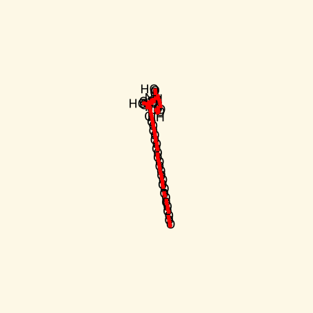 COCCOCCOCCOCCOCCOCCOCCOCCOCCOCCOCCOCCOCCOCCOCCOCCOCCOCCOCCOCCOCCOCCOCCOCCNC(=O)CCCCC[N+]1=c2cc3c(cc2C(CS(=O)(=O)O)=CC1(C)C)=C(C#N)c1cc2c(cc1O3)N(CCCCCC(=O)ON1C(=O)CCC1=O)C(C)(C)C=C2CSOOO